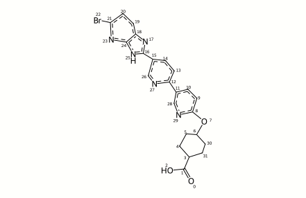 O=C(O)C1CCC(Oc2ccc(-c3ccc(-c4nc5ccc(Br)nc5[nH]4)cn3)cn2)CC1